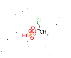 C=C(CCCl)C(=O)OP(=O)(O)O